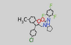 Cc1ccc2oc(CN(C(=O)Nc3c(F)cc(F)cc3F)C3CCCC3)c(-c3ccc(Cl)cc3)c2c1